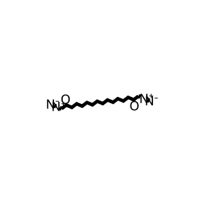 [N-]=[N+]=CC(=O)CCCCCCCCCCCCC(=O)C=[N+]=[N-]